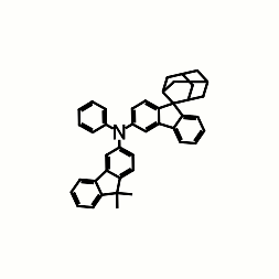 CC1(C)c2ccccc2-c2cc(N(c3ccccc3)c3ccc4c(c3)-c3ccccc3C43C4CC5CC(C4)CC3C5)ccc21